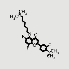 CN(C)CCCCCCNc1c(F)cc(F)c2oc(-c3ccc(N(C)C)c(F)c3)cc(=O)c12